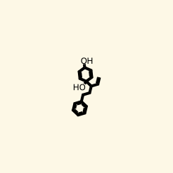 C=CC(CCc1ccccc1)C1(O)C=CC(O)C=C1